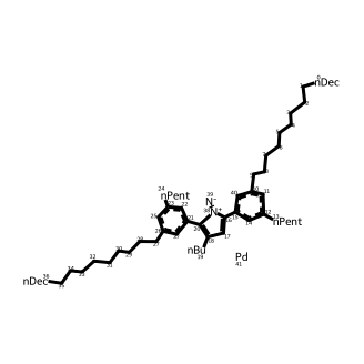 CCCCCCCCCCCCCCCCCCCc1cc(CCCCC)cc(C2=CC(CCCC)=C(c3cc(CCCCC)cc(CCCCCCCCCCCCCCCCCCC)c3)[N+]2=[N-])c1.[Pd]